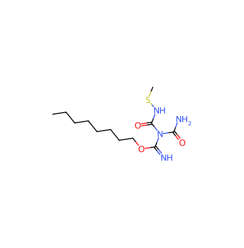 CCCCCCCCOC(=N)N(C(N)=O)C(=O)NSC